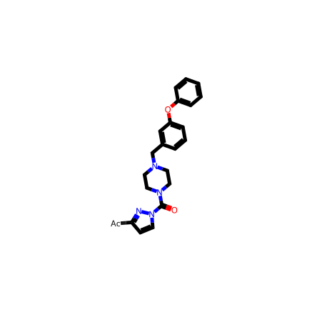 CC(=O)c1ccn(C(=O)N2CCN(Cc3cccc(Oc4ccccc4)c3)CC2)n1